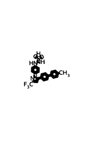 Cc1ccc(-c2ccc(-c3cc(C(F)(F)F)nn3-c3ccc(NN[SH](=O)=O)cc3)cc2)cc1